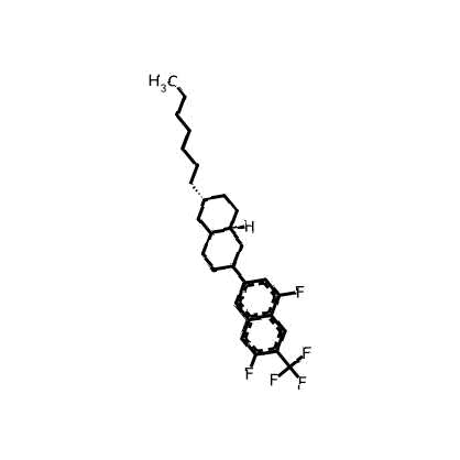 CCCCCCC[C@@H]1CC[C@@H]2CC(c3cc(F)c4cc(C(F)(F)F)c(F)cc4c3)CCC2C1